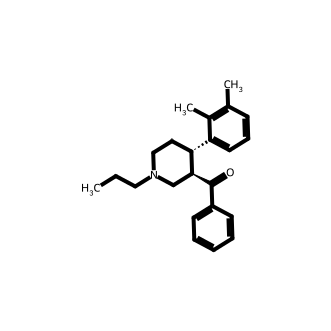 CCCN1C[CH][C@H](c2cccc(C)c2C)[C@@H](C(=O)c2ccccc2)C1